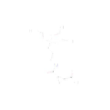 CCO[Si](CCCNC(=O)C1CC1C(=O)O)(OCC)OCC